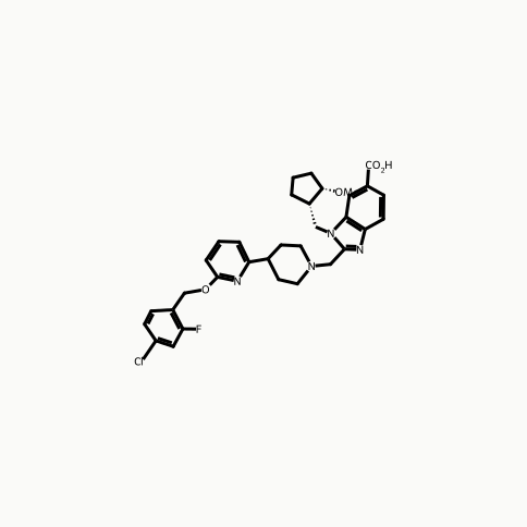 CO[C@H]1CCC[C@H]1Cn1c(CN2CCC(c3cccc(OCc4ccc(Cl)cc4F)n3)CC2)nc2ccc(C(=O)O)cc21